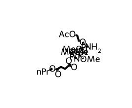 CCCOC(=O)CCC(=O)OP(N=P(N=P(N)(OC)OCCOC(C)=O)(OC)OC)OC